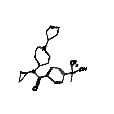 CC(O)(c1ccc(C(=O)N(C2CC2)C2CCN(C3CCCC3)CC2)cc1)C(F)(F)F